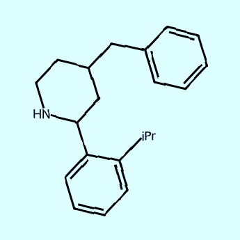 CC(C)c1ccccc1C1CC(Cc2ccccc2)CCN1